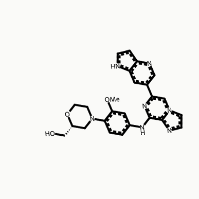 COc1cc(Nc2nc(-c3cnc4cc[nH]c4c3)cn3ccnc23)ccc1N1CCO[C@@H](CO)C1